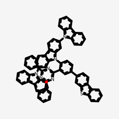 c1ccc(-c2nc(-c3ccccc3)nc(-c3cc(-c4ccc5c(c4)sc4ccccc45)ccc3-n3c4cc(-n5c6ccccc6c6ccccc65)ccc4c4ccc(-n5c6ccccc6c6ccccc65)cc43)n2)cc1